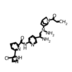 C=CC(=O)N1CC2CC(N(N)/C=C(\N)c3ccc(NC(=O)c4cccc(-c5[nH]ncc5Cl)n4)nc3)C1C2